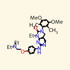 CCN(CC)CCOc1ccc(Nc2ncc3c(n2)N(CC)C(=O)N(c2c(C)c(OC)cc(OC)c2C)C3)cc1